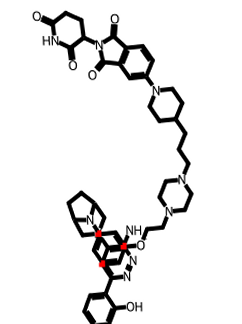 Nc1nnc(-c2ccccc2O)cc1N1CC2CCC(C1)N2c1cccc(OCCN2CCN(CCCC3CCN(c4ccc5c(c4)C(=O)N(C4CCC(=O)NC4=O)C5=O)CC3)CC2)c1